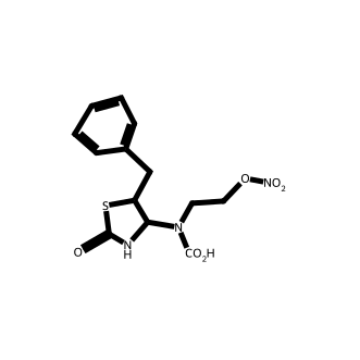 O=C1NC(N(CCO[N+](=O)[O-])C(=O)O)C(Cc2ccccc2)S1